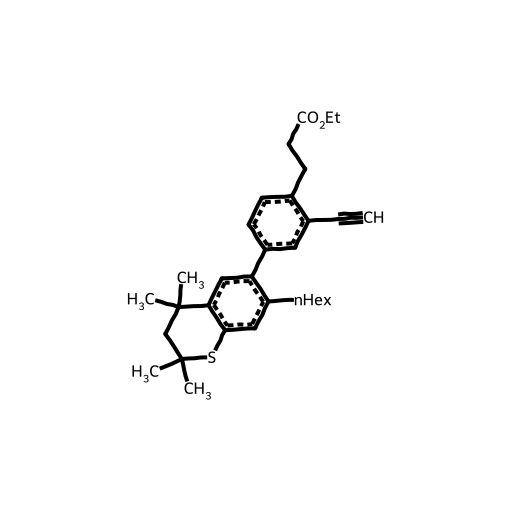 C#Cc1cc(-c2cc3c(cc2CCCCCC)SC(C)(C)CC3(C)C)ccc1CCC(=O)OCC